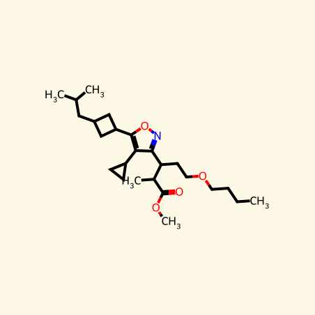 CCCCOCCC(c1noc(C2CC(CC(C)C)C2)c1C1CC1)C(C)C(=O)OC